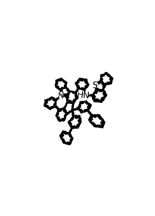 c1ccc(-c2cccc(C3(c4cccc(-c5ccccc5)c4)c4cccc5c4-c4c3cc(-c3ccccc3Nc3cccc6c3sc3ccccc36)c3c6ccccc6n(c43)-c3ccccc3-5)c2)cc1